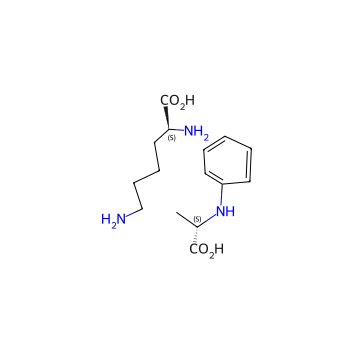 C[C@H](Nc1ccccc1)C(=O)O.NCCCC[C@H](N)C(=O)O